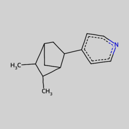 CC1C2CC(c3ccncc3)C(C2)C1C